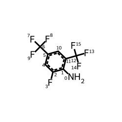 Nc1c(F)cc(C(F)(F)F)cc1C(F)(F)F